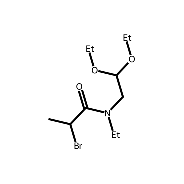 CCOC(CN(CC)C(=O)C(C)Br)OCC